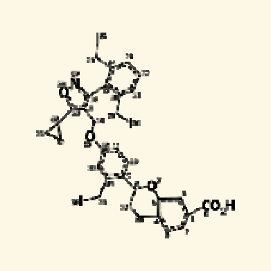 O=C(O)c1ccc2c(c1)OC(c1ccc(OCc3c(-c4c(CI)cccc4CI)noc3C3CC3)cc1CI)CC2